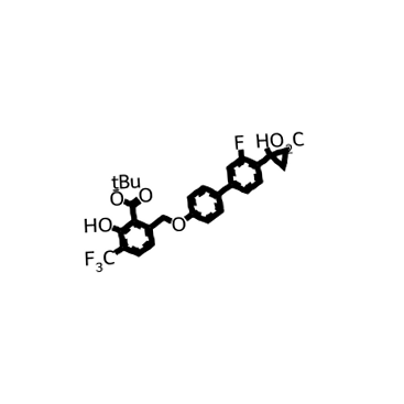 CC(C)(C)OC(=O)c1c(COc2ccc(-c3ccc(C4(C(=O)O)CC4)c(F)c3)cc2)ccc(C(F)(F)F)c1O